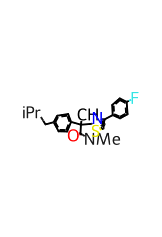 CNC(=O)C(C)(c1ccc(CC(C)C)cc1)c1nc(-c2ccc(F)cc2)cs1